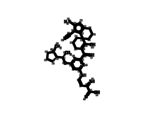 C[C@H](Oc1cc(N/C=C\C(=N)C(=O)O)nc(C(=N)C2=C(O)[C@@]3(CCC2)CCCc2sc(N)c(C#N)c23)n1)[C@@H]1CCCN1C